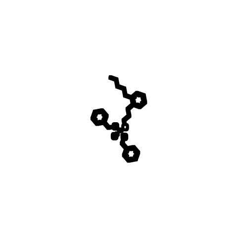 CCCCCc1ccccc1CCCOP(=O)(OCc1ccccc1)OCc1ccccc1